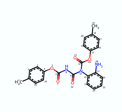 Cc1ccc(OC(=O)NC(=O)N(C(=O)Oc2ccc(C)cc2)c2ccccc2N)cc1